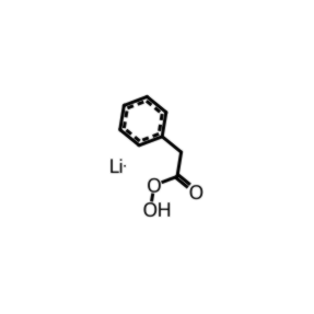 O=C(Cc1ccccc1)OO.[Li]